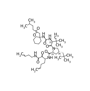 C=CCCNC(=O)C(=O)C(CCC=C)NC(=O)[C@@H]1C[C@@H](CC(C)(C)C)CN1C(=O)[C@@H](NC(=O)NC1(CS(=O)(=O)CCC(C)C)CCCCC1)C(C)(C)C